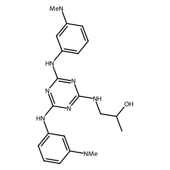 CNc1cccc(Nc2nc(NCC(C)O)nc(Nc3cccc(NC)c3)n2)c1